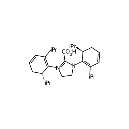 CC(C)C1=C(N2CC[N+](C3=C(C(C)C)C=CC[C@H]3C(C)C)=C2C(=O)O)[C@@H](C(C)C)CC=C1